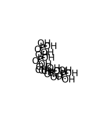 C.C.C.C.O=P(O)(O)O.O=P(O)(O)O.O=P(O)(O)O.O=P(O)(O)O